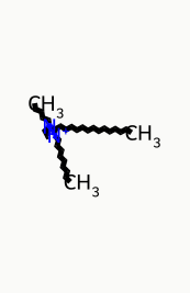 CCCCCCCCCCCCCCc1n(CCCCC)cc[n+]1CCCCCCCCC